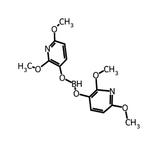 COc1ccc(OBOc2ccc(OC)nc2OC)c(OC)n1